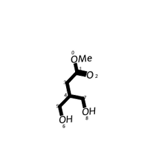 COC(=O)CC(CO)CO